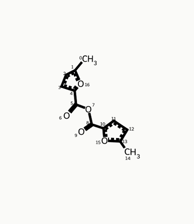 Cc1ccc(C(=O)OC(=O)c2ccc(C)o2)o1